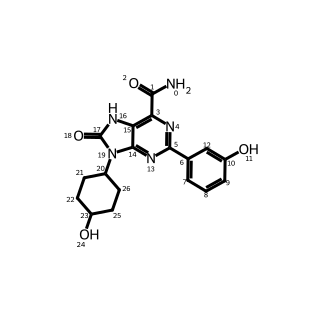 NC(=O)c1nc(-c2cccc(O)c2)nc2c1[nH]c(=O)n2C1CCC(O)CC1